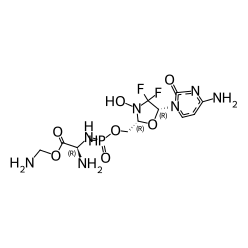 NCOC(=O)[C@H](N)N[PH](=O)OC[C@H]1O[C@@H](n2ccc(N)nc2=O)C(F)(F)N1O